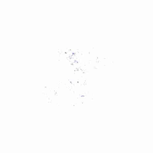 c1ccc(-c2nc(-c3ccccc3)nc(-c3ccc(-n4c5ccc(-n6c7ccccc7c7ccccc76)cc5c5cc(-n6c7ccccc7c7ccccc76)ccc54)c(-c4ccncc4-n4c5ccc(-n6c7ccccc7c7ccccc76)cc5c5cc(-n6c7ccccc7c7ccccc76)ccc54)c3)n2)cc1